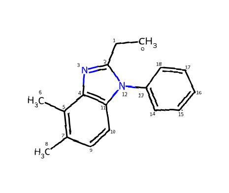 CCc1nc2c(C)c(C)ccc2n1-c1c[c]ccc1